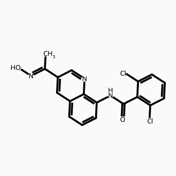 CC(=NO)c1cnc2c(NC(=O)c3c(Cl)cccc3Cl)cccc2c1